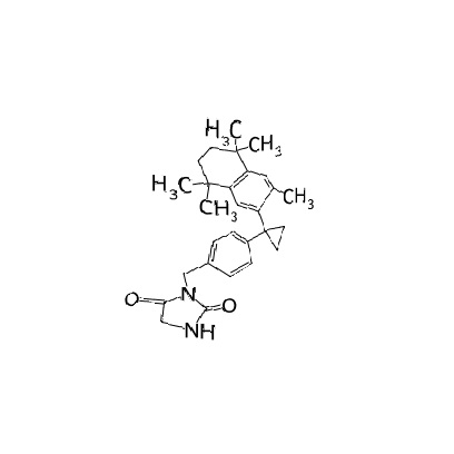 Cc1cc2c(cc1C1(c3ccc(CN4C(=O)CNC4=O)cc3)CC1)C(C)(C)CCC2(C)C